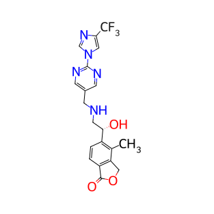 Cc1c([C@@H](O)CNCc2cnc(-n3cnc(C(F)(F)F)c3)nc2)ccc2c1COC2=O